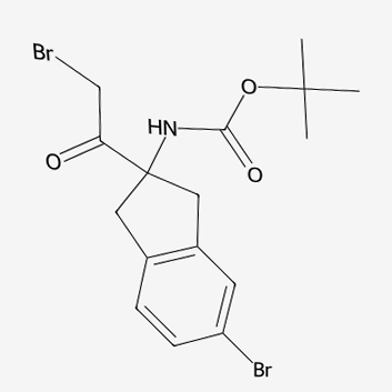 CC(C)(C)OC(=O)NC1(C(=O)CBr)Cc2ccc(Br)cc2C1